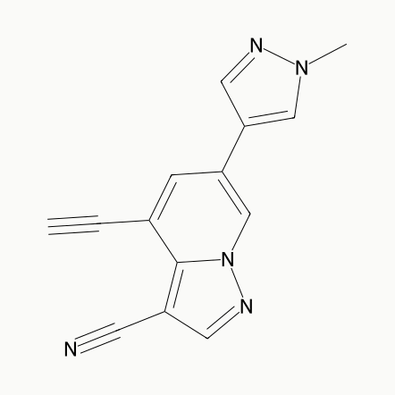 C#Cc1cc(-c2cnn(C)c2)cn2ncc(C#N)c12